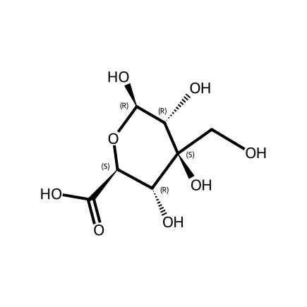 O=C(O)[C@H]1O[C@@H](O)[C@H](O)[C@](O)(CO)[C@@H]1O